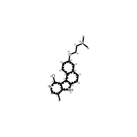 Cc1cnc(Cl)c2c1[nH]c1ccc3cc(OCCN(C)C)ccc3c12